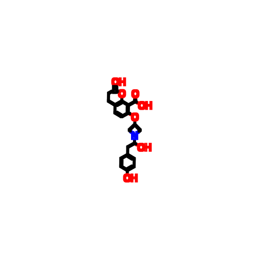 O=C(O)c1c(OC2CN(C(O)Cc3ccc(O)cc3)C2)ccc2c1OB(O)CC2